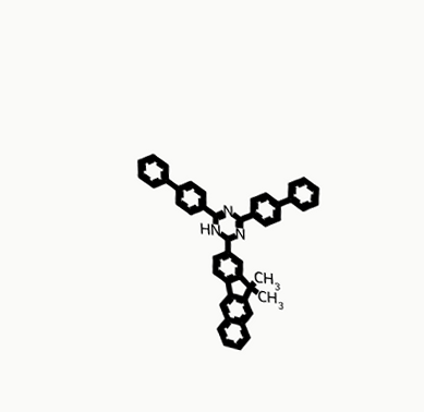 CC1(C)c2cc(C3N=C(c4ccc(-c5ccccc5)cc4)N=C(c4ccc(-c5ccccc5)cc4)N3)ccc2-c2cc3ccccc3cc21